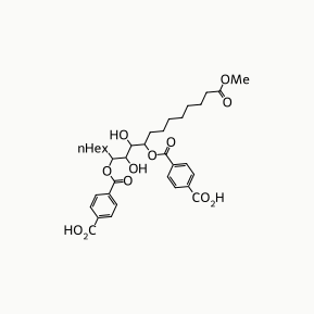 CCCCCCC(OC(=O)c1ccc(C(=O)O)cc1)C(O)C(O)C(CCCCCCCC(=O)OC)OC(=O)c1ccc(C(=O)O)cc1